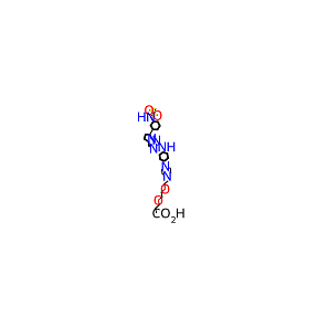 CS(=O)(=O)Nc1cccc(-c2ccc3cnc(Nc4ccc(N5CCN(CCOCCOCCC(=O)O)CC5)cc4)nn23)c1